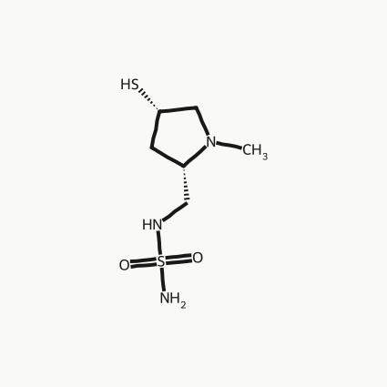 CN1C[C@@H](S)C[C@H]1CNS(N)(=O)=O